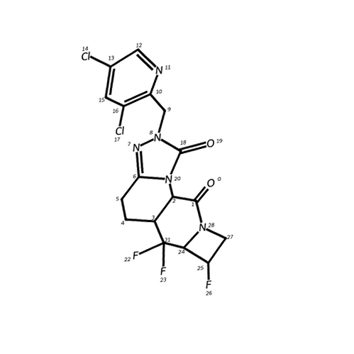 O=C1C2C(CCc3nn(Cc4ncc(Cl)cc4Cl)c(=O)n32)C(F)(F)C2C(F)CN12